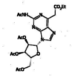 CCOC(=O)Cc1nc(NC(C)=O)nc2c1ncn2[C@@H]1O[C@H](COC(C)=O)[C@@H](OC(C)=O)[C@H]1OC(C)=O